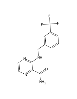 NC(=O)c1nccnc1NCc1cccc(C(F)(F)F)c1